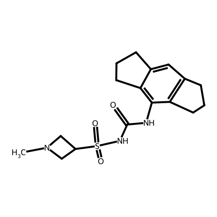 CN1CC(S(=O)(=O)NC(=O)Nc2c3c(cc4c2CCC4)CCC3)C1